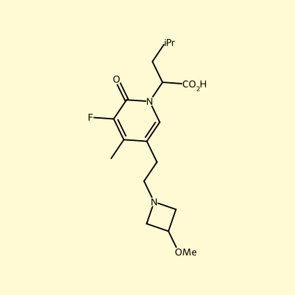 COC1CN(CCc2cn(C(CC(C)C)C(=O)O)c(=O)c(F)c2C)C1